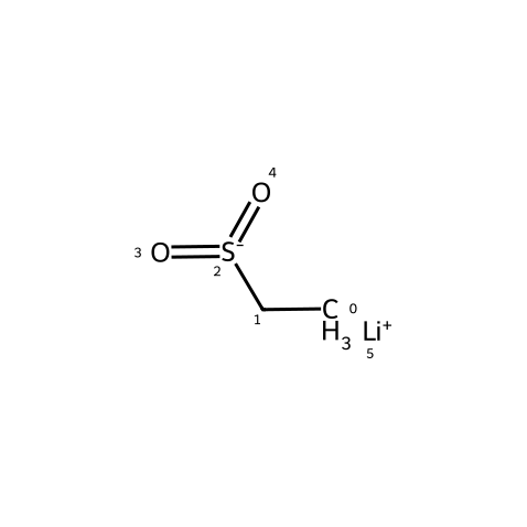 CC[S-](=O)=O.[Li+]